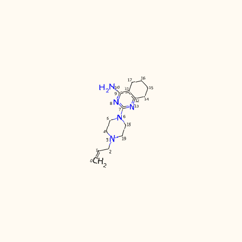 C=CCN1CCN(c2nc(N)c3c(n2)CCCC3)CC1